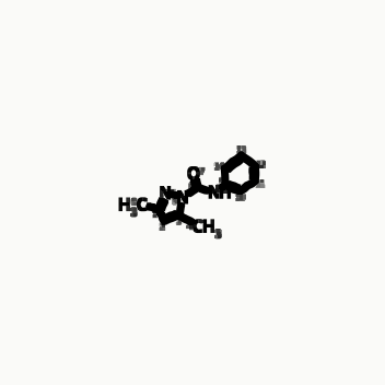 Cc1cc(C)n(C(=O)Nc2ccccc2)n1